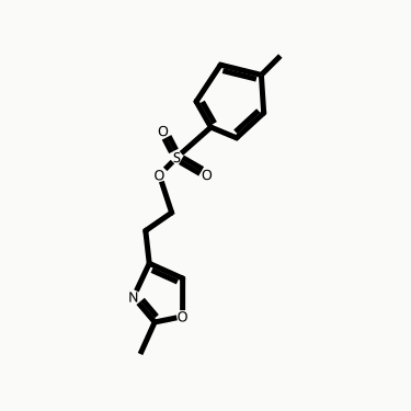 Cc1ccc(S(=O)(=O)OCCc2coc(C)n2)cc1